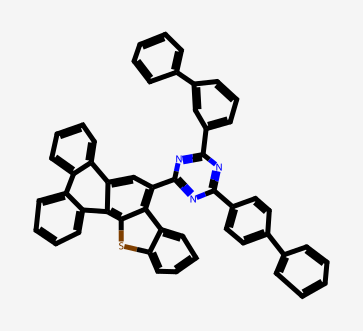 c1ccc(-c2ccc(-c3nc(-c4cccc(-c5ccccc5)c4)nc(-c4cc5c6ccccc6c6ccccc6c5c5sc6ccccc6c45)n3)cc2)cc1